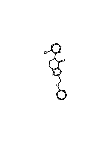 O=C1c2cc(COc3ccccc3)nn2CCN1c1ncccc1Cl